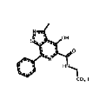 Cc1nsc2c(-c3ccccc3)nc(C(=O)NCC(=O)O)c(O)c12